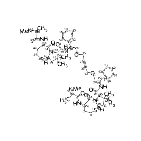 CN[C@@H](C)C(=O)N[C@H]1CCS[C@H]2CC(C)(C)[C@@H](C(=O)N[C@H](COCC#CCOC[C@@H](NC(=O)[C@H]3N4C(=O)[C@@H](NC(=S)[C@H](C)NC)CCS[C@H]4CC3(C)C)c3ccccc3)c3ccccc3)N2C1=O